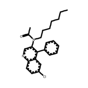 CCCCCCCN(C(C)=O)c1cnc2ccc(Cl)cc2c1-c1ccccc1